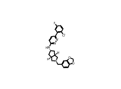 Fc1ccc(Cl)c(-c2ccc(N[C@@H]3C[C@@H]4CN(Cc5ccc6c(c5)OCO6)C[C@@H]4C3)nn2)c1